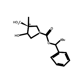 CC(C)(C)C(OC(=O)N1CC(O)[C@@](C)(C(=O)O)C1)c1ccccc1